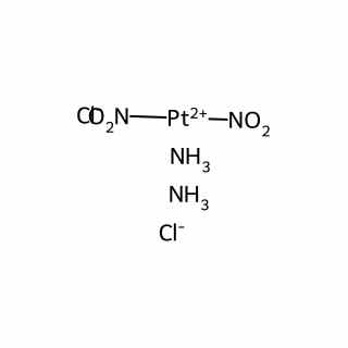 N.N.O=[N+]([O-])[Pt+2][N+](=O)[O-].[Cl-].[Cl-]